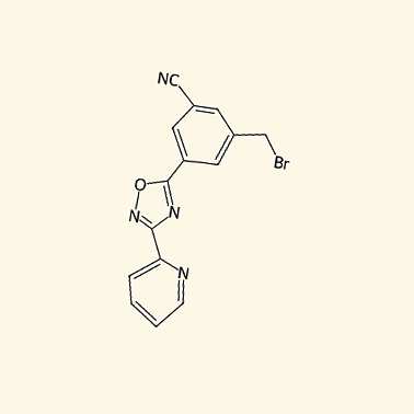 N#Cc1cc(CBr)cc(-c2nc(-c3ccccn3)no2)c1